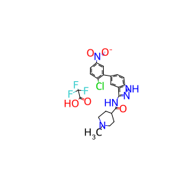 CN1CCC(C(=O)Nc2n[nH]c3ccc(-c4cc([N+](=O)[O-])ccc4Cl)cc23)CC1.O=C(O)C(F)(F)F